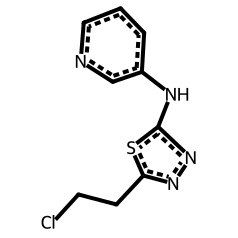 ClCCc1nnc(Nc2cccnc2)s1